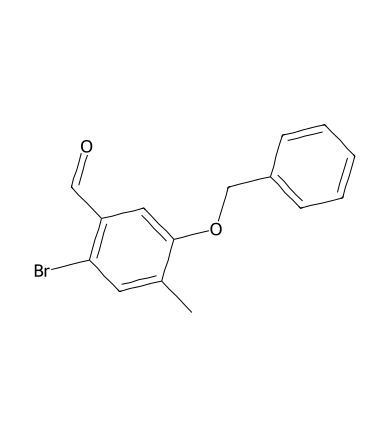 Cc1cc(Br)c(C=O)cc1OCc1ccccc1